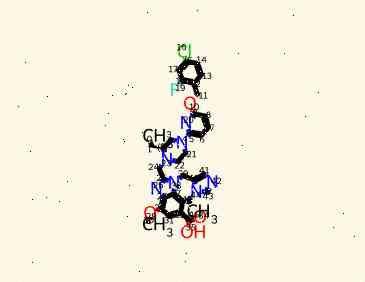 CC[C@H]1CN(c2cccc(OCc3ccc(Cl)cc3F)n2)CCN1Cc1nc2c(OC)cc(C(=O)O)cc2n1Cc1cncn1CC